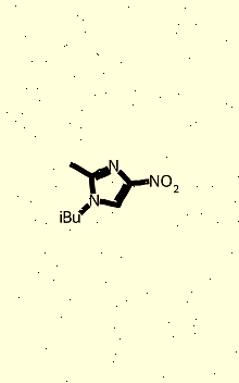 [CH2]CC(C)n1cc([N+](=O)[O-])nc1C